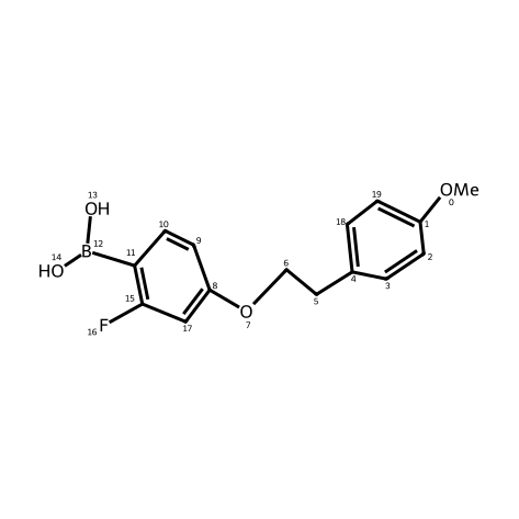 COc1ccc(CCOc2ccc(B(O)O)c(F)c2)cc1